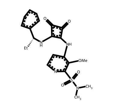 CC[C@@H](Nc1c(Nc2ccnc(S(=O)(=O)N(C)C)c2OC)c(=O)c1=O)c1ccccc1